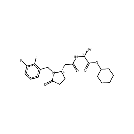 CC(C)[C@H](NC(=O)C[C@@H]1CCC(=O)N1Cc1cccc(F)c1F)C(=O)OC1CCCCC1